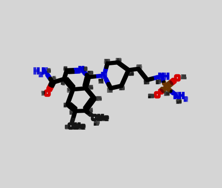 COc1cc2c(C(N)=O)cnc(N3CCC(CCNS(N)(=O)=O)CC3)c2cc1OC